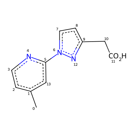 Cc1ccnc(-n2ccc(CC(=O)O)n2)c1